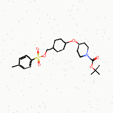 Cc1ccc(S(=O)(=O)OCC2CCC(OC3CCN(C(=O)OC(C)(C)C)CC3)CC2)cc1